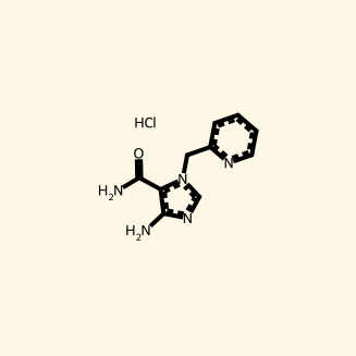 Cl.NC(=O)c1c(N)ncn1Cc1ccccn1